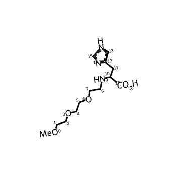 COCCOCCOCCNC(Cc1c[nH]cn1)C(=O)O